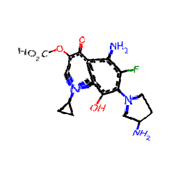 Nc1c(F)c(N2CCC(N)C2)c(O)c2c1c(=O)c(OC(=O)O)cn2C1CC1